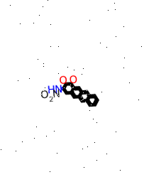 O=C1C(=O)C(N[N+](=O)[O-])Cc2cc3cc4ccccc4cc3cc21